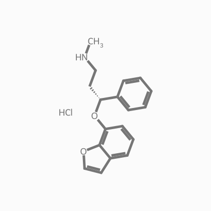 CNCC[C@@H](Oc1cccc2ccoc12)c1ccccc1.Cl